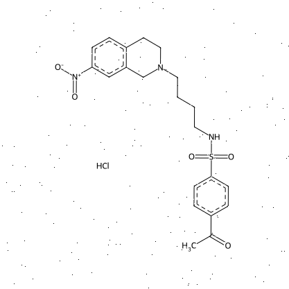 CC(=O)c1ccc(S(=O)(=O)NCCCCN2CCc3ccc([N+](=O)[O-])cc3C2)cc1.Cl